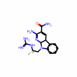 C[C@@H](CN1c2ccccc2C2C=C(C(N)=O)C(N)=NC21)NC(=N)N